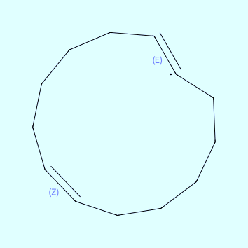 [C]1=C/CCCC/C=C\CCCCC/1